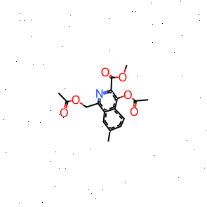 COC(=O)c1nc(COC(C)=O)c2cc(C)ccc2c1OC(C)=O